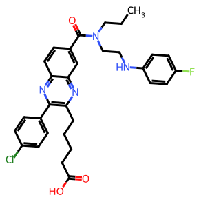 CCCN(CCNc1ccc(F)cc1)C(=O)c1ccc2nc(-c3ccc(Cl)cc3)c(CCCCC(=O)O)nc2c1